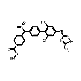 CC(C)(C)OC(=O)N1CCC(C(c2ccc(-c3c(Cl)cc(Nc4n[nH]c(N)n4)cc3C(F)(F)F)cc2)[SH](=O)=O)CC1